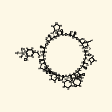 CC[C@H](C)[C@@H]1NC(=O)[C@H](C2CCC2)N(C)C(=O)C[C@@H](C(=O)N2C3CCC2COC3)N(C)C(=O)[C@H](C2CCCCC2)N(C)C(=O)C2(CCCC2)NC(=O)[C@@H]2CCCN2C(=O)[C@H](CCc2ccc(C(F)(F)F)c(Cl)c2)NC(=O)CN(C)C(=O)[C@H](CC2CCCC2)N(C)C(=O)CN(C)C(=O)CN(C)C1=O